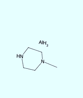 CN1CCNCC1.[AlH3]